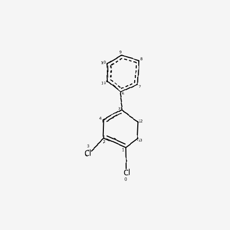 ClC1=C(Cl)C=C(c2ccccc2)C[CH]1